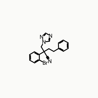 N#CC(CCc1ccccc1)(Cn1cncn1)c1ccccc1Br